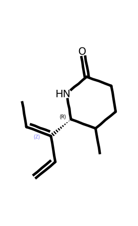 C=C/C(=C/C)[C@@H]1NC(=O)CCC1C